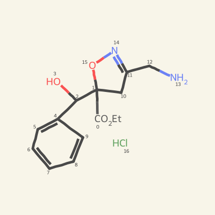 CCOC(=O)C1(C(O)c2ccccc2)CC(CN)=NO1.Cl